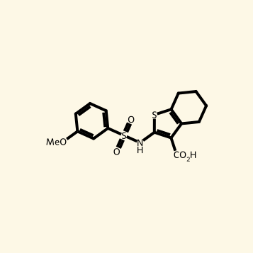 COc1cccc(S(=O)(=O)Nc2sc3c(c2C(=O)O)CCCC3)c1